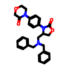 O=C1COCCN1c1ccc(N2C(=O)OCC2CN(Cc2ccccc2)Cc2ccccc2)cc1